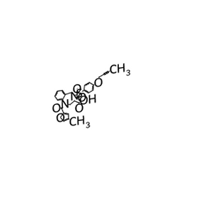 CC#CCOc1ccc(S(=O)(=O)N2Cc3ccccc3N(C(=O)c3cc(C)co3)CC2C(=O)O)cc1